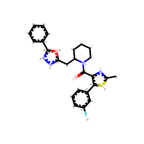 Cc1nc(C(=O)N2CCCCC2Cc2nnc(-c3ccccc3)o2)c(-c2cccc(F)c2)s1